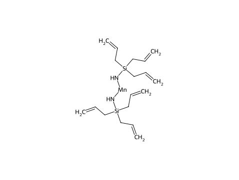 C=CC[Si](CC=C)(CC=C)[NH][Mn][NH][Si](CC=C)(CC=C)CC=C